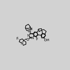 Oc1cc2c(c(-c3c(F)cc4c(N5CC6CCC(C5)N6)nc(OC[C@@]56CCCN5C[C@H](F)C6)nc4c3F)c1)C1(CCC1)CC2